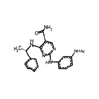 CC(=O)Nc1cccc(Nc2ncc(C(N)=O)c(N[C@@H](C)c3ccccc3)n2)c1